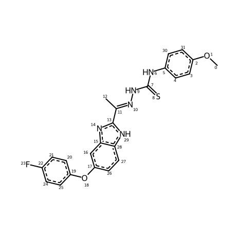 COc1ccc(NC(=S)N/N=C(\C)c2nc3cc(Oc4ccc(F)cc4)ccc3[nH]2)cc1